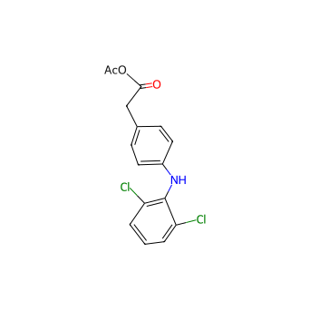 CC(=O)OC(=O)Cc1ccc(Nc2c(Cl)cccc2Cl)cc1